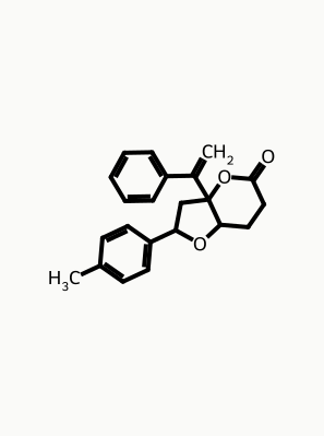 C=C(c1ccccc1)C12CC(c3ccc(C)cc3)OC1CCC(=O)O2